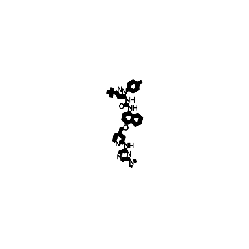 Cc1ccc(-n2nc(C(C)(C)C)cc2NC(=O)Nc2ccc(OCc3ccnc(Nc4cncc(N(C)C)n4)c3)c3ccccc23)cc1